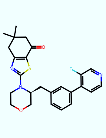 CC1(C)CC(=O)c2sc(N3CCOC[C@@H]3Cc3cccc(-c4ccncc4F)c3)nc2C1